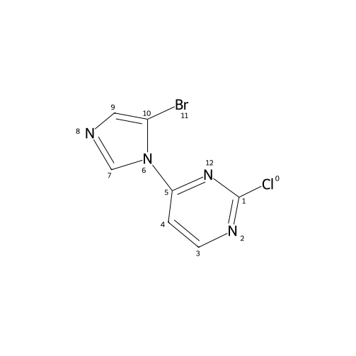 Clc1nccc(-n2cncc2Br)n1